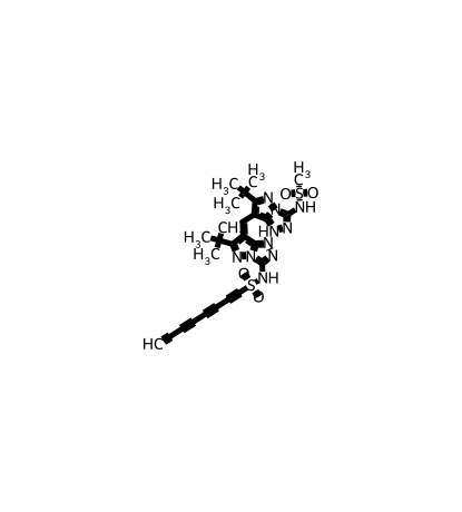 C#CC#CC#CC#CS(=O)(=O)Nc1nnc2/c(=C\c3c(C(C)(C)C)nn4c(NS(C)(=O)=O)n[nH]c34)c(C(C)(C)C)nn12